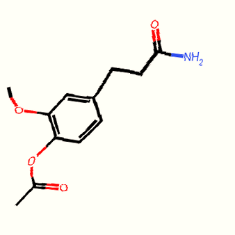 COc1cc(CCC(N)=O)ccc1OC(C)=O